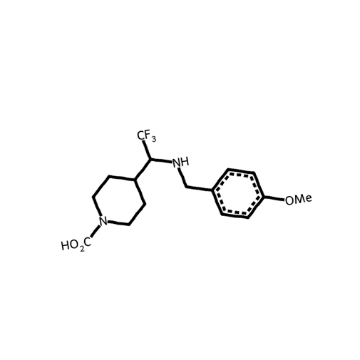 COc1ccc(CNC(C2CCN(C(=O)O)CC2)C(F)(F)F)cc1